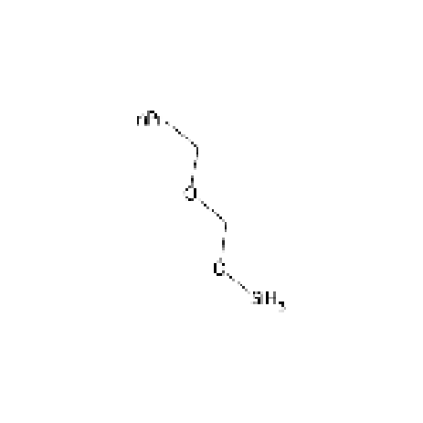 CCCCOCO[SiH3]